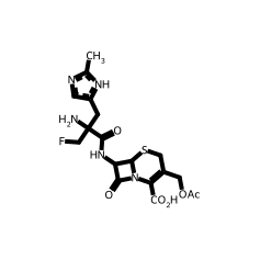 CC(=O)OCC1=C(C(=O)O)N2C(=O)C(NC(=O)C(N)(CF)Cc3cnc(C)[nH]3)C2SC1